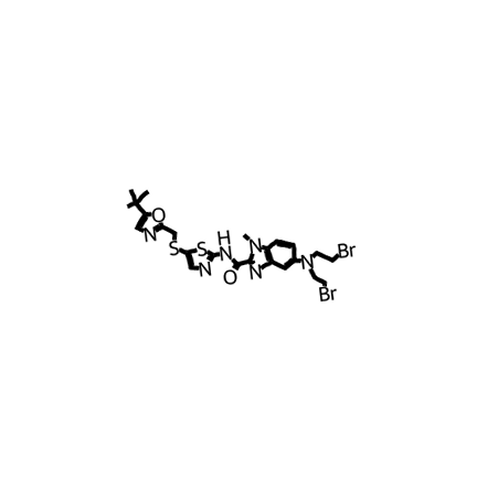 Cn1c(C(=O)Nc2ncc(SCc3ncc(C(C)(C)C)o3)s2)nc2cc(N(CCBr)CCBr)ccc21